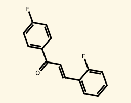 O=C(C=Cc1ccccc1F)c1ccc(F)cc1